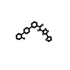 O=C(Nc1nnc(-c2ccco2)o1)c1cccc(-c2ccc(-c3ccccc3F)cc2)c1